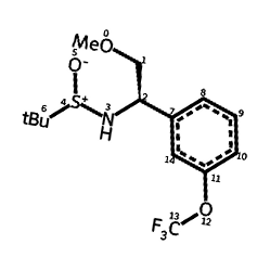 COC[C@H](N[S+]([O-])C(C)(C)C)c1cccc(OC(F)(F)F)c1